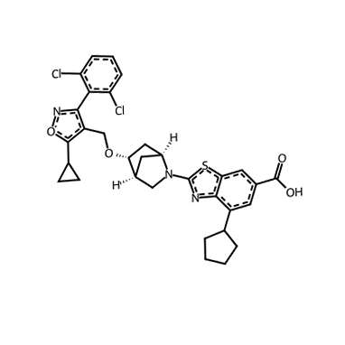 O=C(O)c1cc(C2CCCC2)c2nc(N3C[C@@H]4C[C@H]3C[C@H]4OCc3c(-c4c(Cl)cccc4Cl)noc3C3CC3)sc2c1